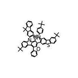 CC(C)(C)c1ccc(Nc2cc3c(cc2-c2c4c5c(c6cc(C(C)(C)C)ccc6n5-c5cc6c(cc5B4)-c4ccccc4C6(C)C)c4c2oc2ccccc24)sc2ccc(C(C)(C)C)cc23)cc1